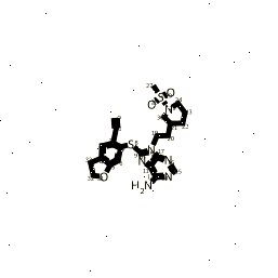 C#Cc1cc2c(cc1Sc1nc3c(N)ncnc3n1CCC1CCCN(S(C)(=O)=O)C1)OCC2